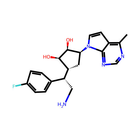 Cc1ncnc2c1ccn2[C@H]1C[C@H]([C@H](CN)c2ccc(F)cc2)[C@@H](O)[C@H]1O